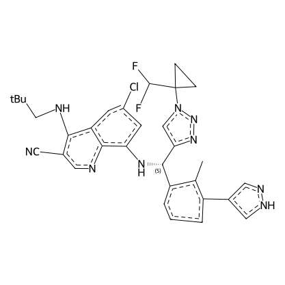 Cc1c(-c2cn[nH]c2)cccc1[C@H](Nc1cc(Cl)cc2c(NCC(C)(C)C)c(C#N)cnc12)c1cn(C2(C(F)F)CC2)nn1